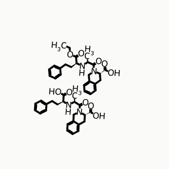 CCOC(=O)[C@H](CCc1ccccc1)N[C@@H](C)C(=O)N1Cc2ccccc2C[C@H]1C(=O)O.C[C@H](N[C@@H](CCc1ccccc1)C(=O)O)C(=O)N1Cc2ccccc2C[C@H]1C(=O)O